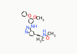 COc1cc(Nc2ncnc3ccc(C#CC(C)NC(C)=O)cc23)ccc1Oc1ccccc1